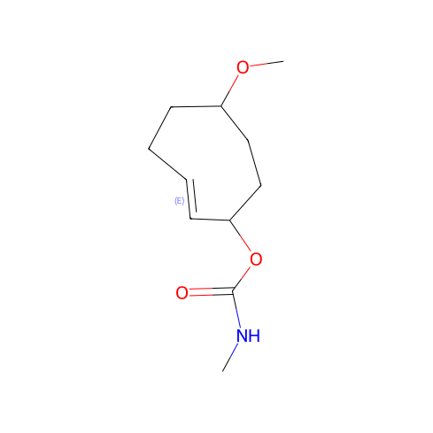 CNC(=O)OC1/C=C/CCC(OC)CC1